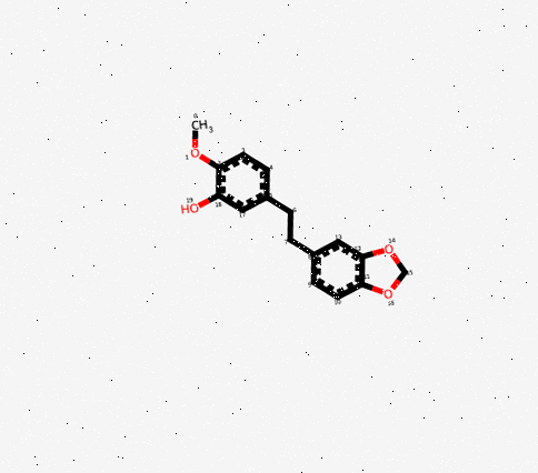 COc1ccc(CCc2ccc3c(c2)OCO3)cc1O